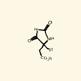 CCC1(CC(=O)O)NC(=O)NC1=O